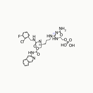 CN(C(=O)NCc1cccc(F)c1Cl)[C@@H](CCCN/C(=N/C(N)=O)NCCOP(=O)(O)O)COC(=O)Nc1cc2ccccc2cn1